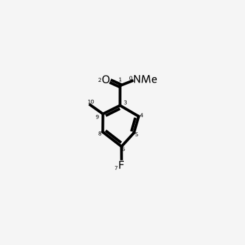 CNC(=O)c1ccc(F)cc1C